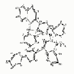 C[n+]1c(-n2c3ccccc3c3cc4c5ccc6ccccc6c5n5c6ccccc6c(c32)c45)nc(-c2ccc(-c3ccccc3)cc2)c2ccccc21